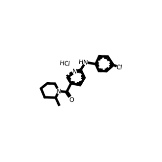 CC1CCCCN1C(=O)c1ccc(Nc2ccc(Cl)cc2)nc1.Cl